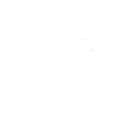 CC(C)C(=O)COCCOCCN(C)C(C)C